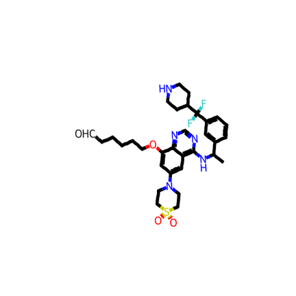 CC(Nc1ncnc2c(OCCCCCC=O)cc(N3CCS(=O)(=O)CC3)cc12)c1cccc(C(F)(F)C2CCNCC2)c1